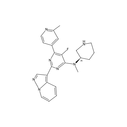 Cc1cc(-c2nc(-c3cnn4ccccc34)nc(N(C)[C@@H]3CCCNC3)c2F)ccn1